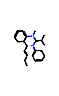 CCC=CCC1CC=CC=C1N(C)C(NC1=CC=CCC1)C(C)C